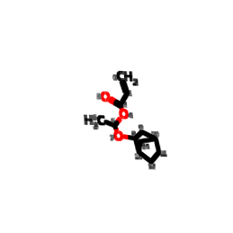 C=CC(=O)OC(C)OC1CC2CCC1C2